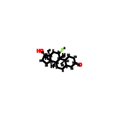 C[C@]12CC(F)[C@H]3[C@@H](CCC4CC(=O)CC[C@@]43C)[C@@H]1CC[C@@H]2O